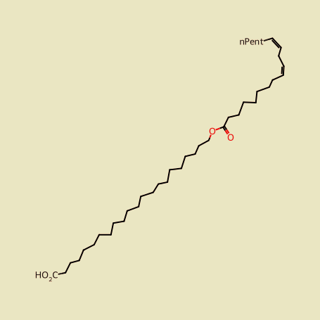 CCCCC/C=C\C/C=C\CCCCCCCC(=O)OCCCCCCCCCCCCCCCCCCCCCC(=O)O